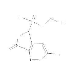 CCOP(=O)(O)C1OC(=O)c2ccc(Br)cc21